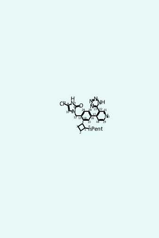 CCCCCC1CCC1.O=c1[nH]c(Cl)cn1Cc1ccc(-c2ccncc2-c2nnn[nH]2)cc1